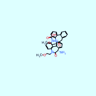 COCCN1C(=O)[C@@H](N)c2ccccc2-c2c1cccc2N(C(=O)O)[N@+]1(CCOC)C(=O)Cc2ccccc2-c2ccccc21